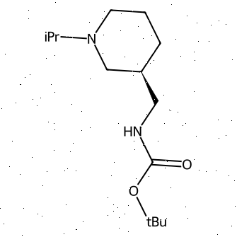 CC(C)N1CCC[C@@H](CNC(=O)OC(C)(C)C)C1